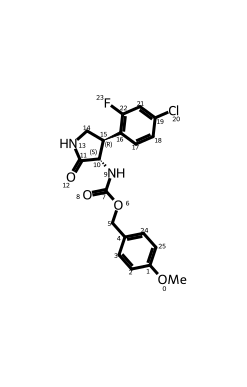 COc1ccc(COC(=O)N[C@@H]2C(=O)NC[C@H]2c2ccc(Cl)cc2F)cc1